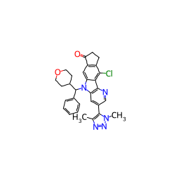 Cc1nnn(C)c1-c1cnc2c3c(Cl)c4c(cc3n(C(c3ccccc3)C3CCOCC3)c2c1)C(=O)CC4